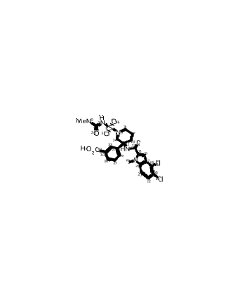 CNC(=O)NS(=O)(=O)N1CCCC(NC(=O)c2cc3c(Cl)c(Cl)ccc3n2C)(c2cccc(C(=O)O)c2)C1